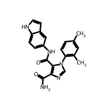 Cc1ccc(-n2cnc(C(N)=O)c2C(=O)Nc2ccc3[nH]ccc3c2)c(C)c1